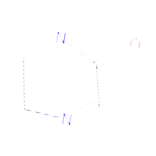 O=C1C=NCC=N1